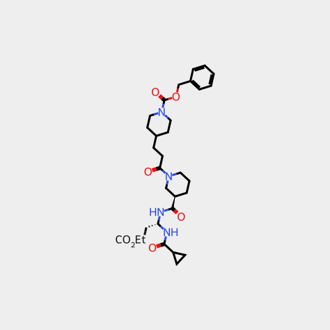 CCOC(=O)C[C@@H](NC(=O)C1CC1)NC(=O)[C@@H]1CCCN(C(=O)CCC2CCN(C(=O)OCc3ccccc3)CC2)C1